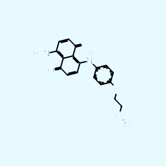 CCOCCOc1ccc(NC2=C3C(=O)C=CC(N)=C3C(=O)C=C2)cc1